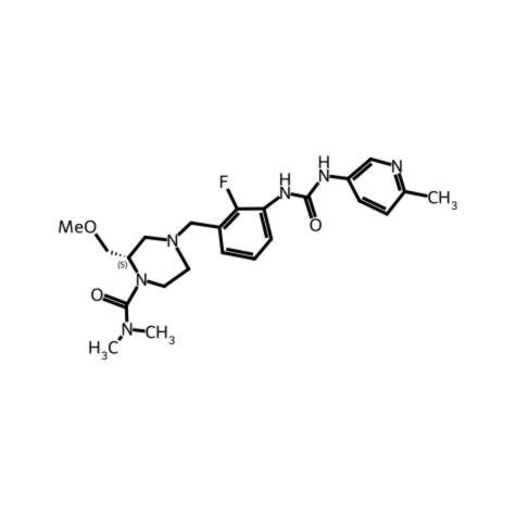 COC[C@@H]1CN(Cc2cccc(NC(=O)Nc3ccc(C)nc3)c2F)CCN1C(=O)N(C)C